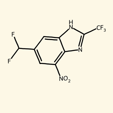 O=[N+]([O-])c1cc(C(F)F)cc2[nH]c(C(F)(F)F)nc12